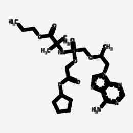 CCCOC(=O)C(C)(C)NP(=O)(COC(C)Cn1cnc2c(N)ncnc21)OCC(=O)OC1CCCC1